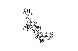 CCCCCOc1ccc(NC(=S)NC(=O)c2cncc(-c3ccoc3)c2)cc1C(F)(F)F